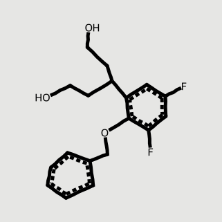 OCCC(CCO)c1cc(F)cc(F)c1OCc1ccccc1